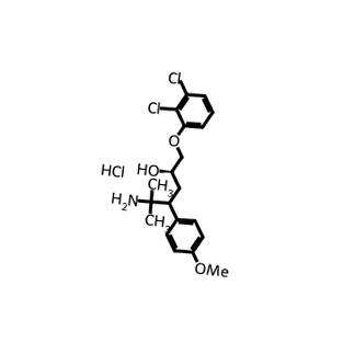 COc1ccc(C(C[C@@H](O)COc2cccc(Cl)c2Cl)C(C)(C)N)cc1.Cl